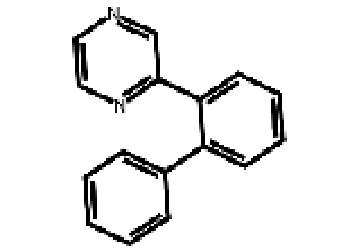 c1ccc(-c2ccccc2-c2cnccn2)cc1